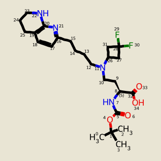 CC(C)(C)OC(=O)N[C@@H](CCN(CCCCc1ccc2c(n1)NCCC2)C1CC(F)(F)C1)C(=O)O